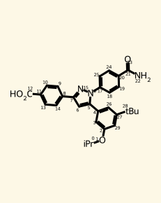 CC(C)Oc1cc(-c2cc(-c3ccc(C(=O)O)cc3)nn2-c2ccc(C(N)=O)cc2)cc(C(C)(C)C)c1